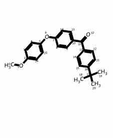 COc1ccc(Oc2ccc(C(=O)c3ccc(C(C)(C)C)cc3)cc2)cc1